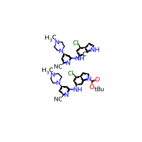 CN1CCN(c2cc(C#N)nc(Nc3cc(Cl)c4cc[nH]c4c3)c2)CC1.CN1CCN(c2cc(C#N)nc(Nc3cc(Cl)c4ccn(C(=O)OC(C)(C)C)c4c3)c2)CC1